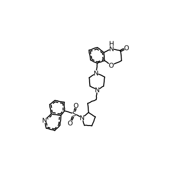 O=C1COc2c(cccc2N2CCN(CCC3CCCN3S(=O)(=O)c3cccc4ncccc34)CC2)N1